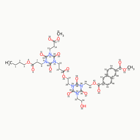 CCCCOC(=O)CCn1c(=O)n(CCC(=O)OC)c(=O)n(CCC(=O)OCCn2c(=O)n(CCO)c(=O)n(CCOC(=O)c3ccc4cc(C(=O)OC)ccc4c3)c2=O)c1=O